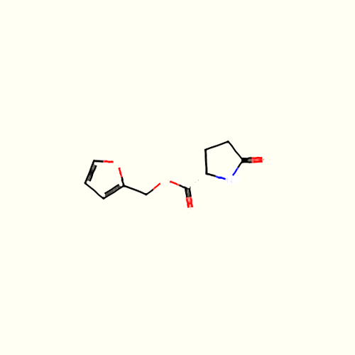 O=C1CC[C@@H](C(=O)OCc2ccco2)N1